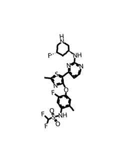 Cc1nc(Oc2cc(C)c(NS(=O)(=O)C(F)F)cc2F)c(-c2ccnc(N[C@@H]3CNC[C@@H](F)C3)n2)s1